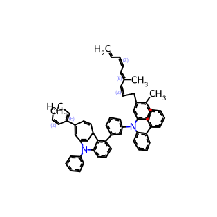 C=C\C=C/C=C(C)/C=C\Cc1cc(N(c2cccc(-c3cccc4c3C3C=CC(C(/C=C\C)=C/C)=CC(=C3)N4c3ccccc3)c2)c2ccccc2-c2ccccc2)ccc1C